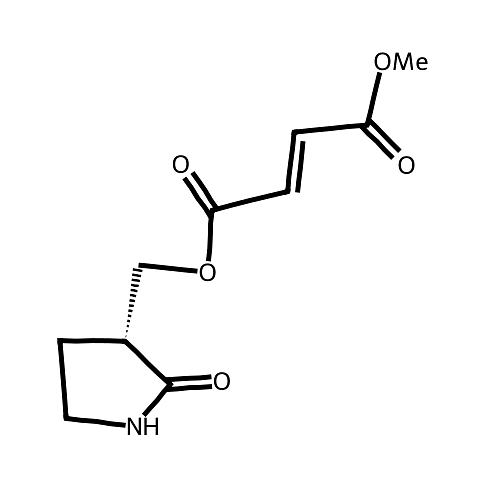 COC(=O)/C=C/C(=O)OC[C@H]1CCNC1=O